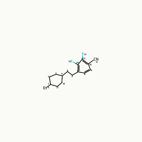 CCC1CCC(CCc2ccc(C#N)c(F)c2F)CC1